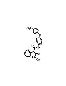 Cc1ccc(Oc2ccc(NC(=O)C(C(=O)NO)c3ccccc3)cc2)cc1